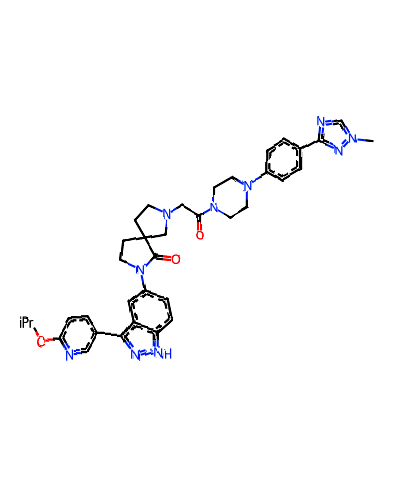 CC(C)Oc1ccc(-c2n[nH]c3ccc(N4CCC5(CCN(CC(=O)N6CCN(c7ccc(-c8ncn(C)n8)cc7)CC6)C5)C4=O)cc23)cn1